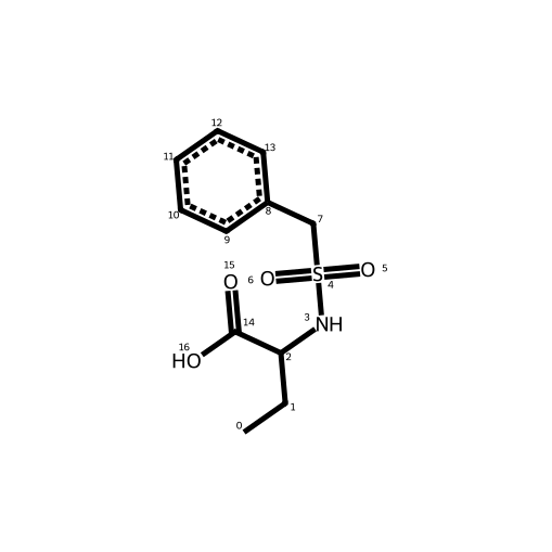 CCC(NS(=O)(=O)Cc1ccccc1)C(=O)O